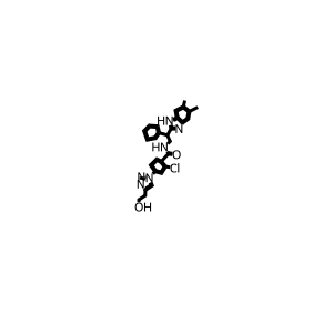 Cc1cc2nc(C(CNC(=O)c3ccc(-n4cc(CCO)nn4)cc3Cl)c3ccccc3)[nH]c2cc1C